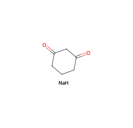 O=C1CCCC(=O)C1.[NaH]